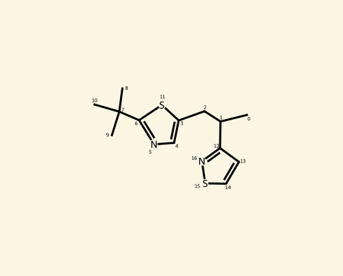 CC(Cc1cnc(C(C)(C)C)s1)c1ccsn1